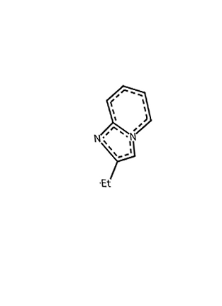 C[CH]c1cn2ccccc2n1